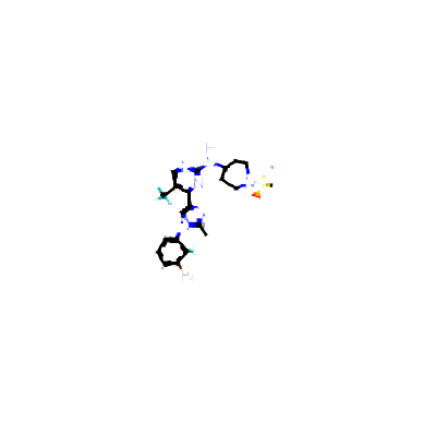 Cc1nc(-c2nc(NC3CCN(S(C)(=O)=O)CC3)ncc2C(F)(F)F)cn1-c1cccc(Br)c1F